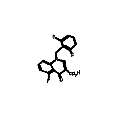 O=C(O)c1cn(Cc2c(F)cccc2F)c2cccc(F)c2c1=O